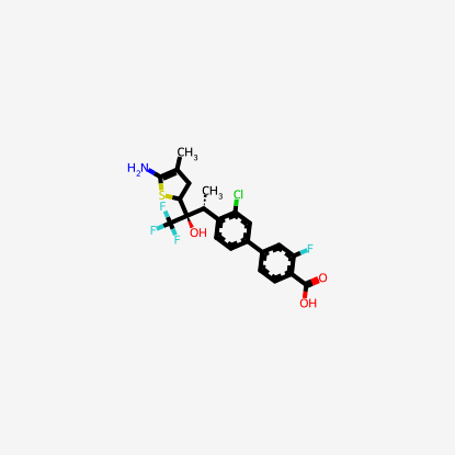 CC1=C(N)SC([C@](O)([C@H](C)c2ccc(-c3ccc(C(=O)O)c(F)c3)cc2Cl)C(F)(F)F)C1